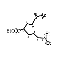 CCOC(=O)[C@H](CCCN(CC)CC)CCSC(C)=O